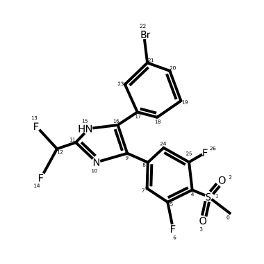 CS(=O)(=O)c1c(F)cc(-c2nc(C(F)F)[nH]c2-c2cccc(Br)c2)cc1F